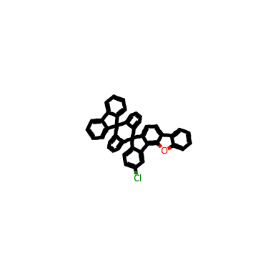 Clc1ccc2c(c1)-c1c(ccc3c1oc1ccccc13)C21c2ccccc2C2(c3ccccc3-c3ccccc32)c2ccccc21